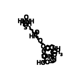 C[C@]1(CC(=O)Nc2nccs2)NCCc2cc(OCCOCCNC(=O)CCCC[C@@H]3SC[C@@H]4NC(=O)N[C@@H]43)c(Oc3ccc(C(=O)O)cc3)cc21